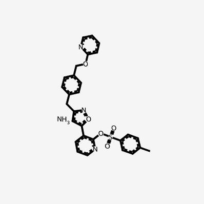 Cc1ccc(S(=O)(=O)Oc2ncccc2-c2cc(Cc3ccc(COc4ccccn4)cc3)no2)cc1.N